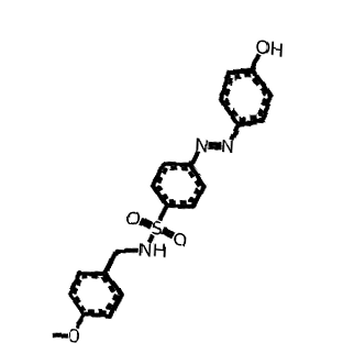 COc1ccc(CNS(=O)(=O)c2ccc(/N=N/c3ccc(O)cc3)cc2)cc1